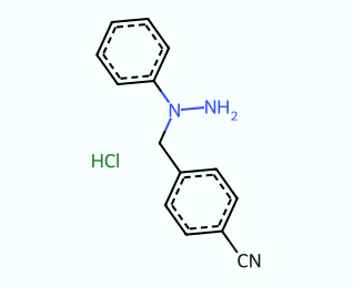 Cl.N#Cc1ccc(CN(N)c2ccccc2)cc1